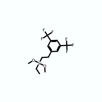 CC[Si](CCc1cc(C(F)(F)F)cc(C(F)(F)F)c1)(OC)OC